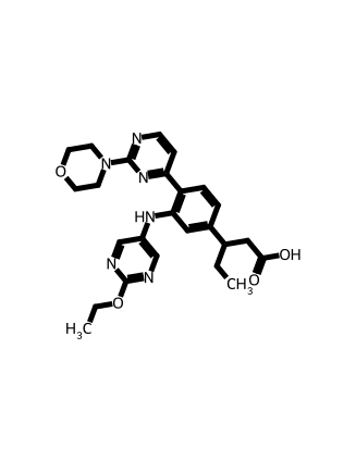 CCOc1ncc(Nc2cc(C(CC)CC(=O)O)ccc2-c2ccnc(N3CCOCC3)n2)cn1